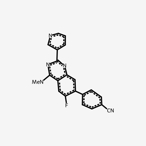 CNc1nc(-c2cccnc2)nc2cc(-c3ccc(C#N)cc3)c(F)cc12